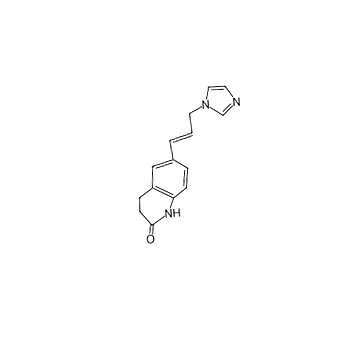 O=C1CCc2cc(C=CCn3ccnc3)ccc2N1